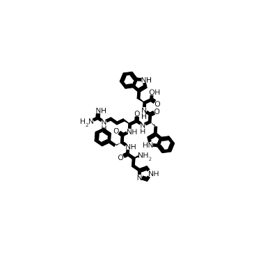 N=C(N)NCCC[C@H](NC(=O)[C@@H](Cc1ccccc1)NC(=O)[C@@H](N)Cc1c[nH]cn1)C(=O)N[C@@H](Cc1c[nH]c2ccccc12)C(=O)N[C@@H](Cc1c[nH]c2ccccc12)C(=O)O